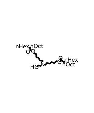 CCCCCCCCC(CCCCCC)C(=O)OCCCCCCN(CCO)CCCCCCOC(=O)C(CCCCCC)CCCCCCCC